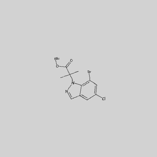 CC(C)(C)OC(=O)C(C)(C)n1ncc2cc(Cl)cc(Br)c21